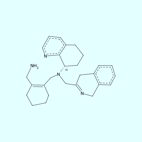 NCC1=C(CN(CC2=NCc3ccccc3C2)[C@H]2CCCc3cccnc32)CCCC1